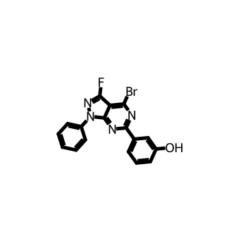 Oc1cccc(-c2nc(Br)c3c(F)nn(-c4ccccc4)c3n2)c1